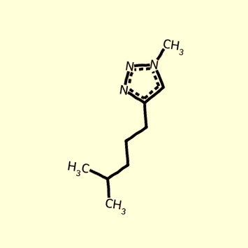 CC(C)CCCc1cn(C)nn1